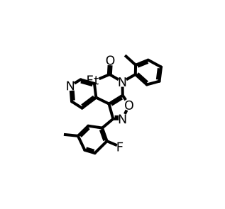 CCC(=O)N(c1ccccc1C)c1onc(-c2cc(C)ccc2F)c1-c1ccncc1